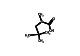 CN(CC(C)(C)C)C(=O)O